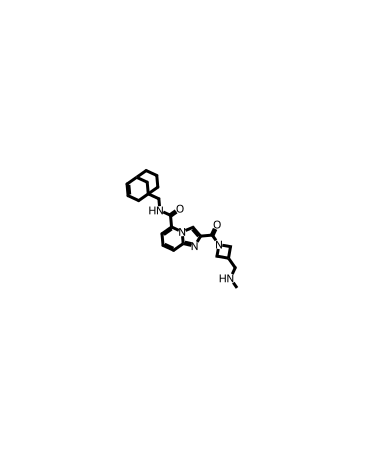 CNCC1CN(C(=O)c2cn3c(C(=O)NCC45CC=CC(CCC4)C5)cccc3n2)C1